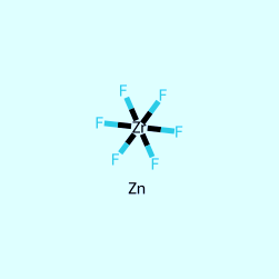 [F][Zr]([F])([F])([F])([F])[F].[Zn]